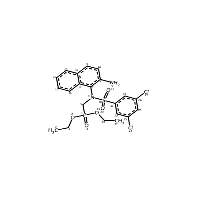 CCOP(=O)(CN(c1c(N)ccc2ccccc12)S(=O)(=O)c1cc(Cl)cc(Cl)c1)OCC